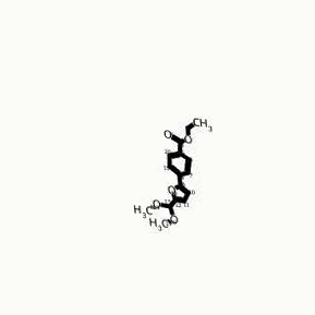 CCOC(=O)c1ccc(-c2ccc(C(OC)OC)o2)cc1